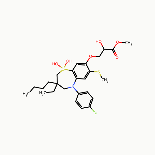 CCCCC1(CC)CN(c2ccc(F)cc2)c2cc(SC)c(OCC(O)C(=O)OC)cc2S(O)(O)C1